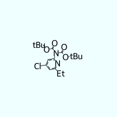 CCc1cc(Cl)cc(N(C(=O)OC(C)(C)C)C(=O)OC(C)(C)C)n1